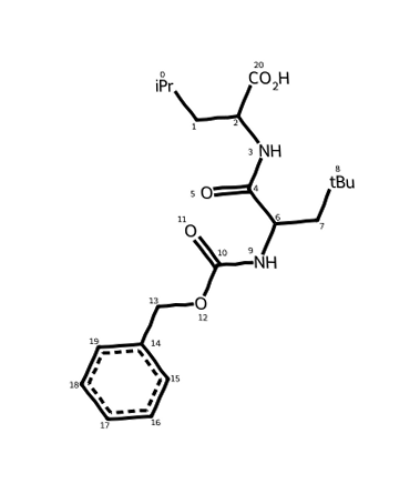 CC(C)CC(NC(=O)C(CC(C)(C)C)NC(=O)OCc1ccccc1)C(=O)O